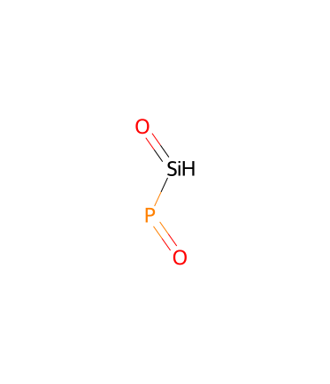 O=[SiH]P=O